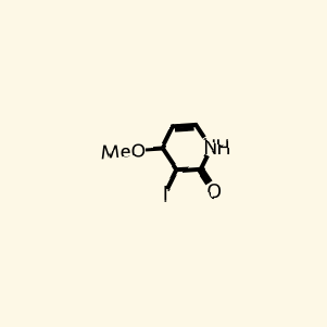 COC1C=CNC(=O)C1I